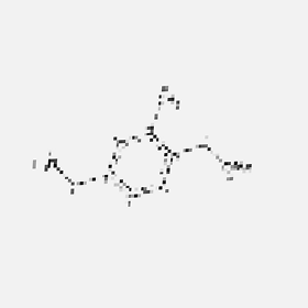 COCc1ccc(CN)cc1C